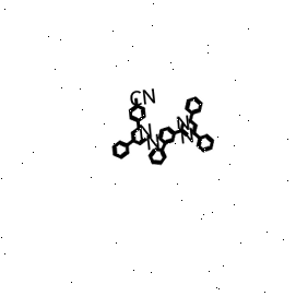 N#Cc1ccc(-c2cc(-c3ccccc3)cc(-n3c4ccccc4c4cc(-c5nc(-c6ccccc6)cc(-c6ccccc6)n5)ccc43)n2)cc1